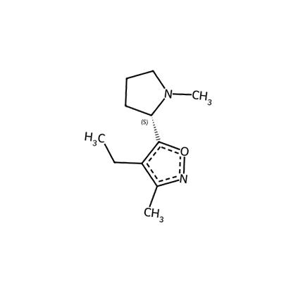 CCc1c(C)noc1[C@@H]1CCCN1C